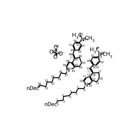 CCCCCCCCCCCCCCCCCC[n+]1ccc2c(c1)CCC/C2=C\c1ccc(N(C)C)cc1.CCCCCCCCCCCCCCCCCC[n+]1ccc2c(c1)CCC/C2=C\c1ccc(N(C)C)cc1.O=S(=O)([O-])[O-]